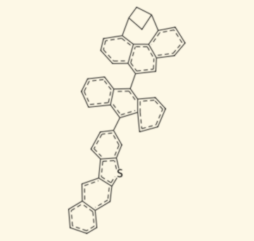 c1ccc2cc3c(cc2c1)sc1cc(-c2c4ccccc4c(-c4cc5cccc6c5c5c(cccc45)C4CC6C4)c4ccccc24)ccc13